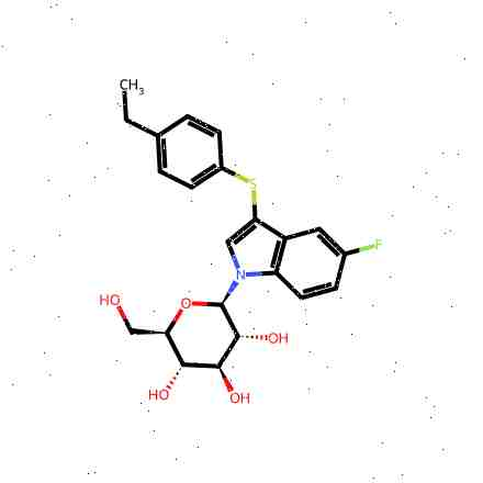 CCc1ccc(Sc2cn([C@@H]3O[C@H](CO)[C@@H](O)[C@H](O)[C@H]3O)c3ccc(F)cc23)cc1